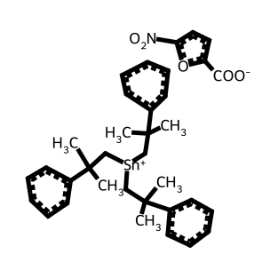 CC(C)([CH2][Sn+]([CH2]C(C)(C)c1ccccc1)[CH2]C(C)(C)c1ccccc1)c1ccccc1.O=C([O-])c1ccc([N+](=O)[O-])o1